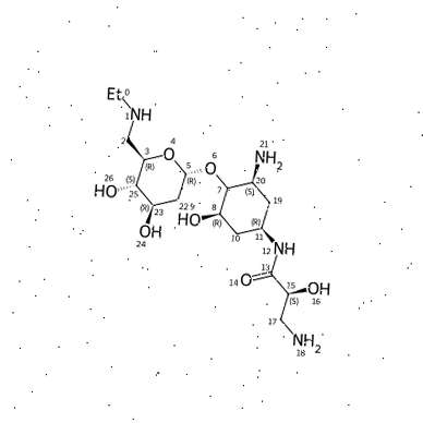 CCNC[C@H]1O[C@H](OC2[C@H](O)C[C@H](NC(=O)[C@@H](O)CN)C[C@@H]2N)C[C@@H](O)[C@@H]1O